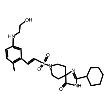 Cc1ccc(NCCO)cc1C=CS(=O)(=O)N1CCC2(CC1)N=C(C1CCCCC1)NC2=O